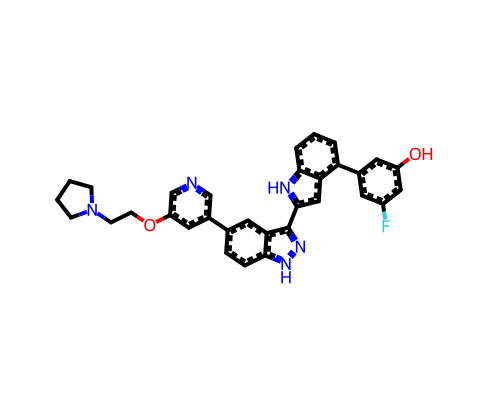 Oc1cc(F)cc(-c2cccc3[nH]c(-c4n[nH]c5ccc(-c6cncc(OCCN7CCCC7)c6)cc45)cc23)c1